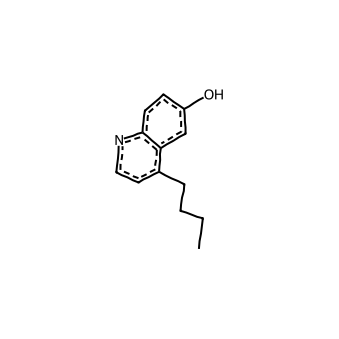 CCCCc1ccnc2ccc(O)cc12